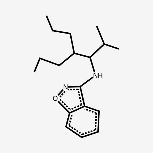 CCCC(CCC)C(Nc1noc2ccccc12)C(C)C